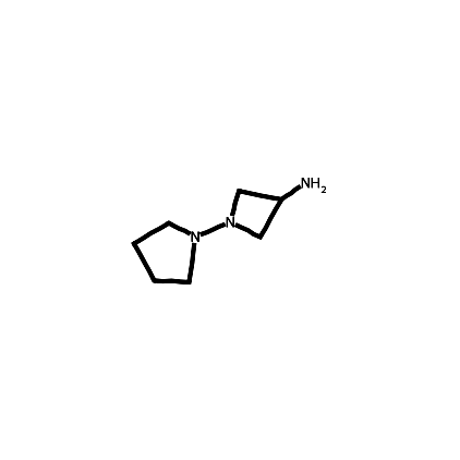 NC1CN(N2CCCC2)C1